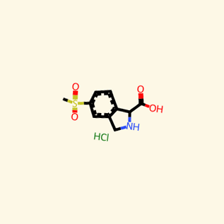 CS(=O)(=O)c1ccc2c(c1)CNC2C(=O)O.Cl